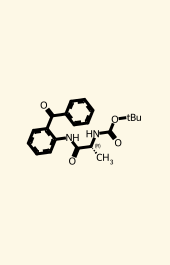 C[C@@H](NC(=O)OC(C)(C)C)C(=O)Nc1ccccc1C(=O)c1ccccc1